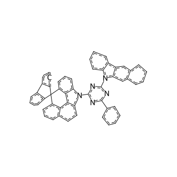 c1ccc(-c2nc(-n3c4ccccc4c4cc5ccccc5cc43)nc(-n3c4cccc5c4c4c6c(cccc6ccc43)C53c4ccccc4-c4ccccc43)n2)cc1